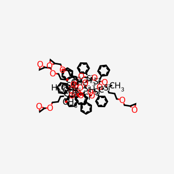 C[Si](C)(CCCOCC1CO1)O[Si]1(c2ccccc2)O[Si]2(c3ccccc3)O[Si](O[Si](C)(C)CCCOCC3CO3)(c3ccccc3)O[Si](c3ccccc3)(O1)O[Si]1(c3ccccc3)O[Si](O[Si](C)(C)CCCOCC3CO3)(c3ccccc3)O[Si](c3ccccc3)(O[Si](O[Si](C)(C)CCCOC3CO3)(c3ccccc3)O1)O2